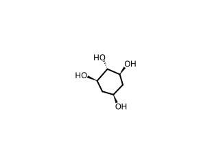 O[C@H]1C[C@@H](O)[C@H](O)[C@@H](O)C1